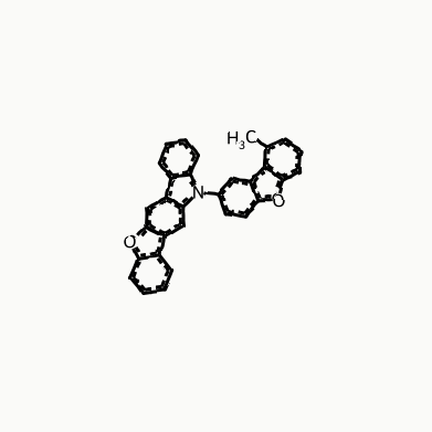 Cc1cccc2oc3ccc(-n4c5ccccc5c5cc6oc7ccccc7c6cc54)cc3c12